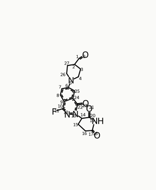 O=CC1CCN(c2ccc3c(F)nn(C4CCC(=O)NC4=O)c(=O)c3c2)CC1